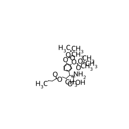 CCCC(=O)OCC(C)C(c1ccc(OC(=O)OC(C)(C)C)c(OC(=O)OC(C)(C)C)c1)[C@H](N)C(=O)O